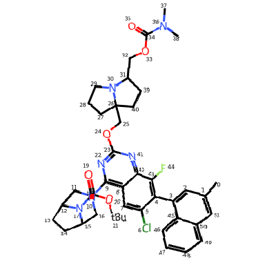 Cc1cc(-c2c(Cl)cc3c(N4CC5CCC(C4)N5C(=O)OC(C)(C)C)nc(OCC45CCCN4C(COC(=O)N(C)C)CC5)nc3c2F)c2ccccc2c1